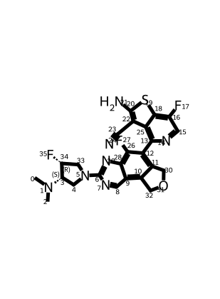 CN(C)[C@H]1CN(c2ncc3c4c(c(-c5ncc(F)c6sc(N)c(C#N)c56)c(F)c3n2)COC4)C[C@H]1F